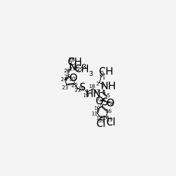 C#CCNC(=CS(=O)(=O)c1ccc(Cl)c(Cl)c1)NCCSCc1ccc(CN(C)C)o1